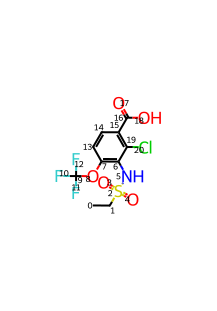 CCS(=O)(=O)Nc1c(OC(F)(F)F)ccc(C(=O)O)c1Cl